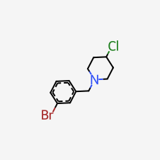 ClC1CCN(Cc2cccc(Br)c2)CC1